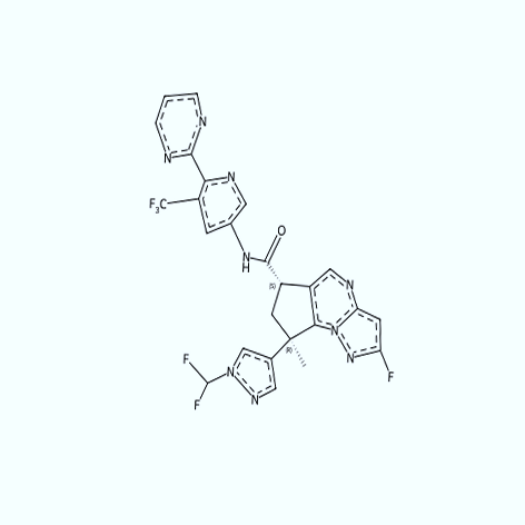 C[C@]1(c2cnn(C(F)F)c2)C[C@H](C(=O)Nc2cnc(-c3ncccn3)c(C(F)(F)F)c2)c2cnc3cc(F)nn3c21